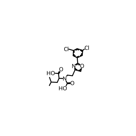 CC(C)CC(C(=O)O)N(CCc1coc(-c2cc(Cl)cc(Cl)c2)n1)C(=O)O